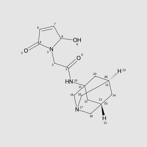 O=C(CN1C(=O)C=CC1O)NC12C[C@@H]3C[C@@H](CN(C3)C1)C2